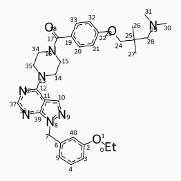 CCOc1cccc(Cn2ncc3c(N4CCN(C(=O)c5ccc(OCC(C)(C)CN(C)C)cc5)CC4)ncnc32)c1